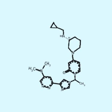 CC(n1cnc(-c2cc(N(C)C)cnn2)c1)n1ccc(N2CCC[C@@H](NCC3CC3)C2)cc1=O